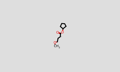 COCC[CH]C(=O)OC1CCCC1